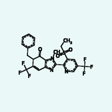 CCS(=O)(=O)c1cc(C(F)(F)F)cnc1-c1nc2c(n1C)C(=O)C(Cc1ccccc1)C(C(F)(F)F)=C2